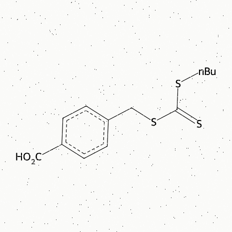 CCCCSC(=S)SCc1ccc(C(=O)O)cc1